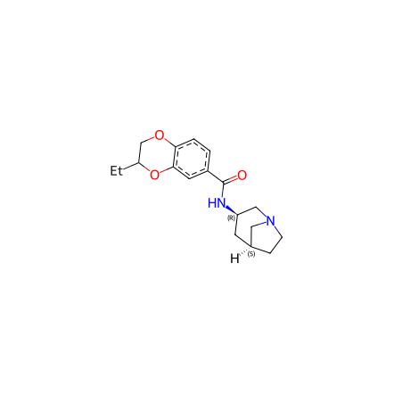 CCC1COc2ccc(C(=O)N[C@@H]3C[C@@H]4CCN(C4)C3)cc2O1